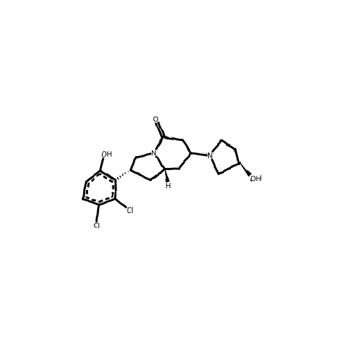 O=C1CC(N2CC[C@@H](O)C2)C[C@@H]2C[C@H](c3c(O)ccc(Cl)c3Cl)CN12